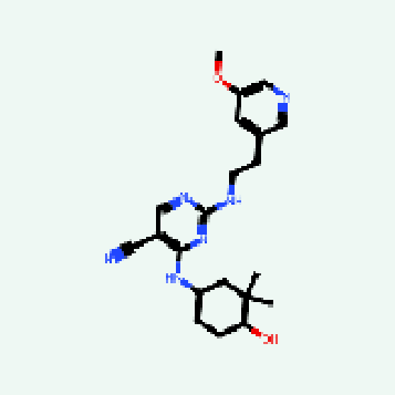 COc1cncc(CCNc2ncc(C#N)c(NC3CCC(O)C(C)(C)C3)n2)c1